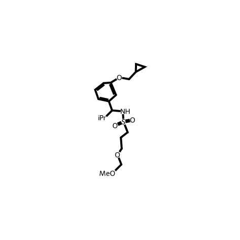 COCOCCCS(=O)(=O)NC(c1cccc(OCC2CC2)c1)C(C)C